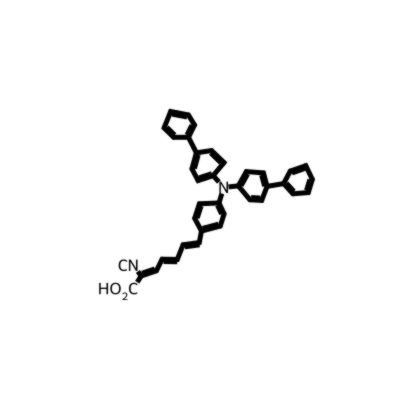 [C-]#[N+]\C(=C/C=C/C=C/c1ccc(N(c2ccc(-c3ccccc3)cc2)c2ccc(-c3ccccc3)cc2)cc1)C(=O)O